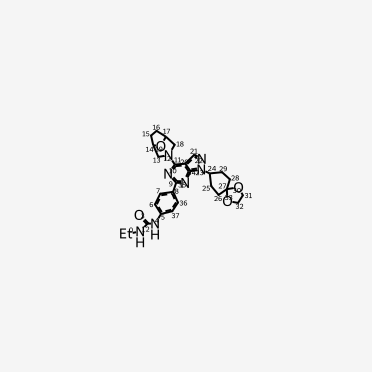 CCNC(=O)Nc1ccc(-c2nc(N3CC4CCC(C3)O4)c3cnn(C4CCC5(CC4)OCCO5)c3n2)cc1